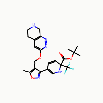 Cc1onc(C2=CNC(C(=O)OC(C)(C)C)(C(F)(F)F)C=C2)c1COc1cc2c(nn1)CNCC2